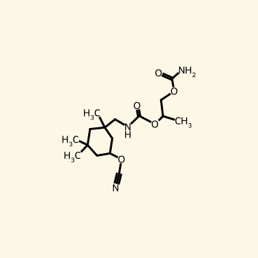 CC(COC(N)=O)OC(=O)NCC1(C)CC(OC#N)CC(C)(C)C1